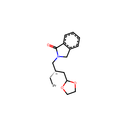 CC(C)C[C@@H](CC1OCCO1)CN1Cc2ccccc2C1=O